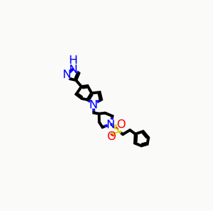 O=S(=O)(CCc1ccccc1)N1CCC(Cn2ccc3cc(-c4cn[nH]c4)ccc32)CC1